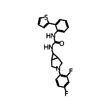 O=C(Nc1ccccc1-c1cccs1)NC1C2CN(c3ccc(F)cc3F)CC21